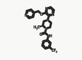 C[C@H]1CN(c2nccnc2OCc2ccncc2)CCN1C(=O)Nc1cccc(C(F)(F)F)c1